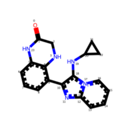 O=C1CNc2c(cccc2-c2nc3ccccn3c2NC2CC2)N1